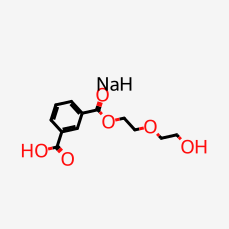 O=C(O)c1cccc(C(=O)OCCOCCO)c1.[NaH]